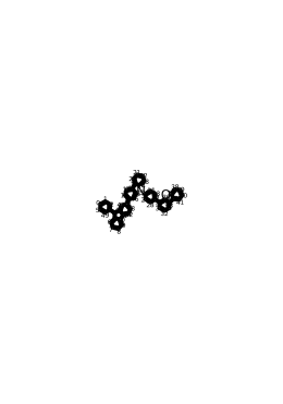 c1ccc(C2c3ccccc3-c3ccc(-c4ccc5c6ccccc6n(-c6ccc(-c7cccc8c7oc7ccccc78)cc6)c5c4)cc32)cc1